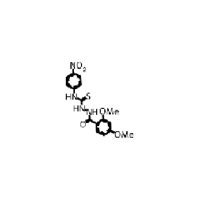 COc1ccc(C(=O)NNC(=S)Nc2ccc([N+](=O)[O-])cc2)c(OC)c1